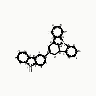 C1=C(c2ccc3[nH]c4ccccc4c3c2)CC2c3ccccc3-n3c2c1c1ccccc13